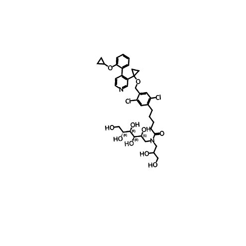 O=C(CCCCc1cc(Cl)c(COC2(c3cnccc3-c3ccccc3OC3CC3)CC2)cc1Cl)N(CC(O)CO)C[C@H](O)[C@@H](O)[C@H](O)[C@H](O)CO